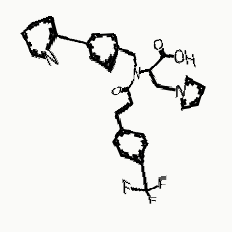 O=C(O)C(Cn1cccc1)N(Cc1ccc(-c2ccccn2)cc1)C(=O)C=Cc1ccc(C(F)(F)F)cc1